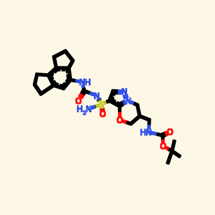 CC(C)(C)OC(=O)NCC1COc2c(S(N)(=O)=NC(=O)Nc3cc4c(c5c3CCC5)CCC4)cnn2C1